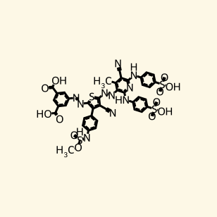 CO[SH](=O)=Nc1ccc(-c2c(N=Nc3cc(C(=O)O)cc(C(=O)O)c3)sc(N=Nc3c(Nc4ccc(S(=O)(=O)O)cc4)nc(Nc4ccc(S(=O)(=O)O)cc4)c(C#N)c3C)c2C#N)cc1